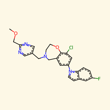 COCc1ncc(CN2CCOc3c(Cl)cc(-n4ccc5cc(F)ccc54)cc3C2)cn1